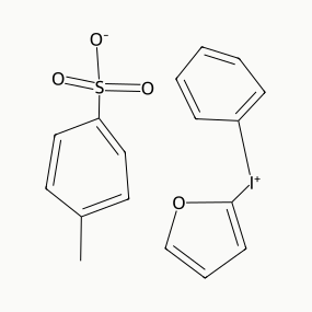 Cc1ccc(S(=O)(=O)[O-])cc1.c1ccc([I+]c2ccco2)cc1